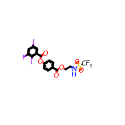 O=C(OCCNS(=O)(=O)C(F)(F)F)c1ccc(OC(=O)c2cc(I)cc(I)c2I)cc1